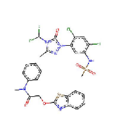 CN(C(=O)COc1nc2ccccc2s1)c1ccccc1.Cc1nn(-c2cc(NS(C)(=O)=O)c(Cl)cc2Cl)c(=O)n1C(F)F